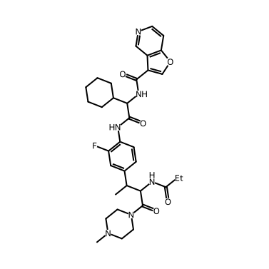 CCC(=O)NC(C(=O)N1CCN(C)CC1)C(C)c1ccc(NC(=O)C(NC(=O)c2coc3ccncc23)C2CCCCC2)c(F)c1